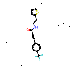 O=C(C#Cc1ccc(C(F)(F)F)cc1)NCCc1cccs1